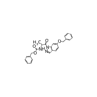 C[C@H](NC(=O)OCc1ccccc1)C(=O)n1ncc2ccc(OCc3ccccc3)cc21